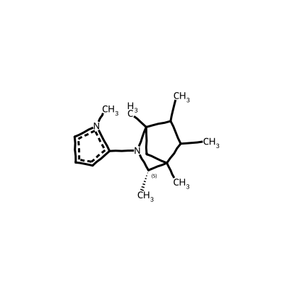 CC1C(C)C2(C)CC1(C)[C@H](C)N2c1cccn1C